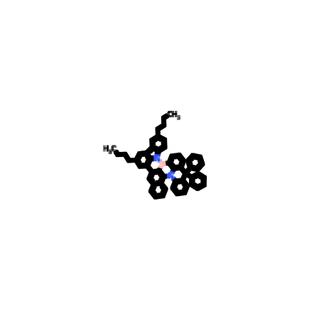 CCCCc1ccc2c(c1)c1cc(CCCC)cc3c1n2B1c2cccc4c2N(c2ccccc2C4(c2ccccc2)c2ccccc2)c2c1c-3cc1ccccc21